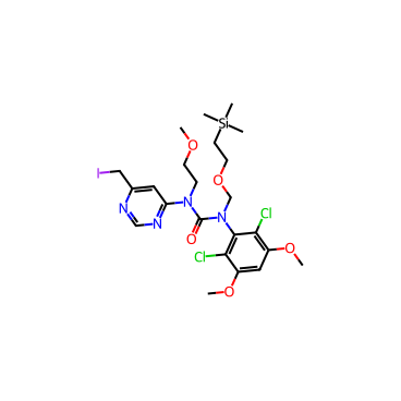 COCCN(C(=O)N(COCC[Si](C)(C)C)c1c(Cl)c(OC)cc(OC)c1Cl)c1cc(CI)ncn1